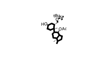 CC(=O)O[C@H]1C2CCC(C)[C@@]2(C)CCC1[C@@]1(C)CC[C@H](O)C[C@@H]1CO[Si](C)(C)C(C)(C)C